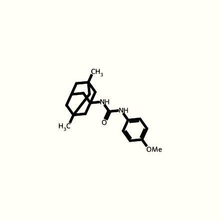 COc1ccc(NC(=O)NC23CC4CC(C)(CC(C)(C4)C2)C3)cc1